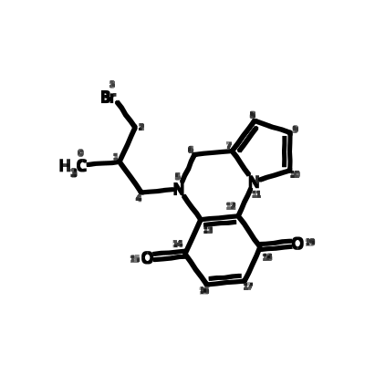 CC(CBr)CN1Cc2cccn2C2=C1C(=O)C=CC2=O